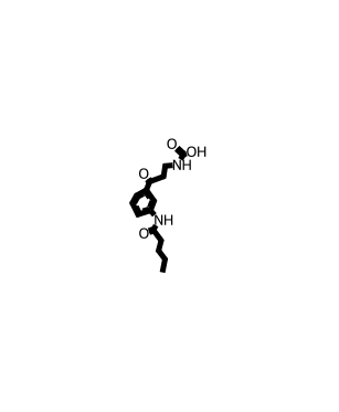 CCCCC(=O)Nc1cccc(C(=O)CCNC(=O)O)c1